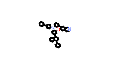 C1=CC(c2ccc(N(c3ccc(-c4ccc(-c5ccccc5)c5ccccc45)cc3)c3cccc4c3oc3cc5ccncc5cc34)cc2)=CCC1